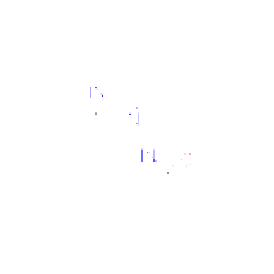 CC(=O)NCN1CCNCC1